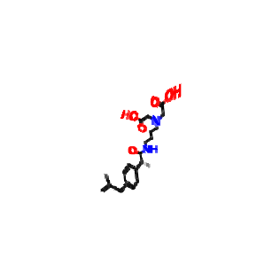 CC(C)Cc1ccc([C@@H](C)C(=O)NCCCCN(CC(=O)O)CC(=O)O)cc1